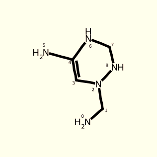 NCN1C=C(N)NCN1